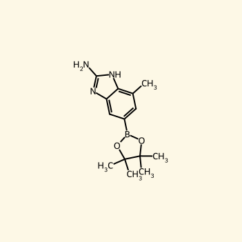 Cc1cc(B2OC(C)(C)C(C)(C)O2)cc2nc(N)[nH]c12